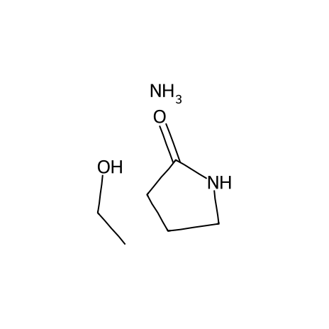 CCO.N.O=C1CCCN1